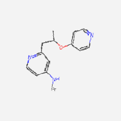 CC(C)Nc1ccnc(CC(C)Oc2ccncc2)c1